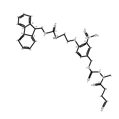 CN(OC(=O)OCc1ccc(OCCNC(=O)OCC2c3ccccc3-c3ccccc32)c([N+](=O)[O-])c1)C(=O)CCC=O